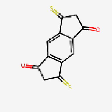 O=C1CC(=S)c2cc3c(cc21)C(=S)CC3=O